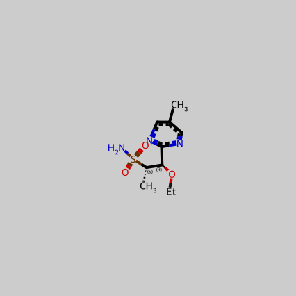 CCO[C@H](c1ncc(C)cn1)[C@H](C)S(N)(=O)=O